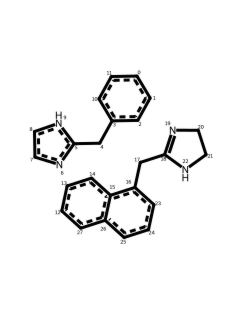 c1ccc(Cc2ncc[nH]2)cc1.c1ccc2c(CC3=NCCN3)cccc2c1